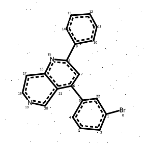 Brc1cccc(-c2cc(-c3ccccc3)nc3ccncc23)c1